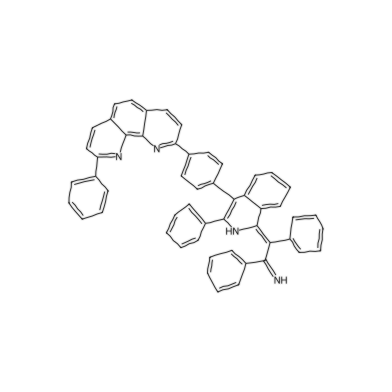 N=C(/C(=C1\NC(c2ccccc2)=C(c2ccc(-c3ccc4ccc5ccc(-c6ccccc6)nc5c4n3)cc2)c2ccccc21)c1ccccc1)c1ccccc1